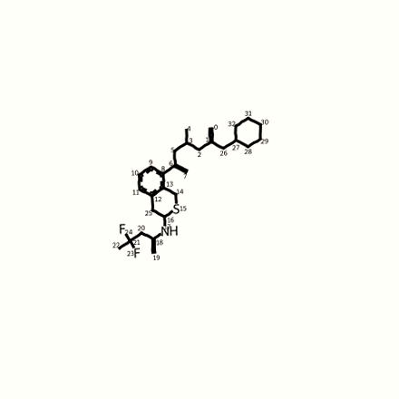 C=C(CC(C)CC(=C)c1cccc2c1CSC(NC(=C)CC(C)(F)F)C2)CC1CCCCC1